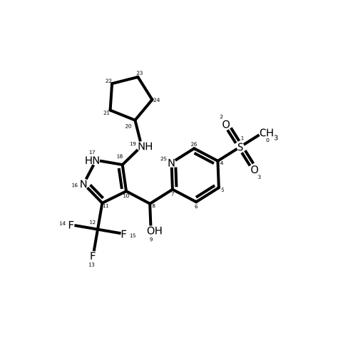 CS(=O)(=O)c1ccc(C(O)c2c(C(F)(F)F)n[nH]c2NC2CCCC2)nc1